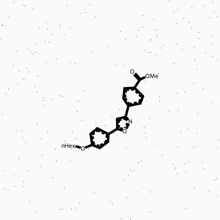 CCCCCCOc1ccc(-c2cc(-c3ccc(C(=O)OC)cc3)no2)cc1